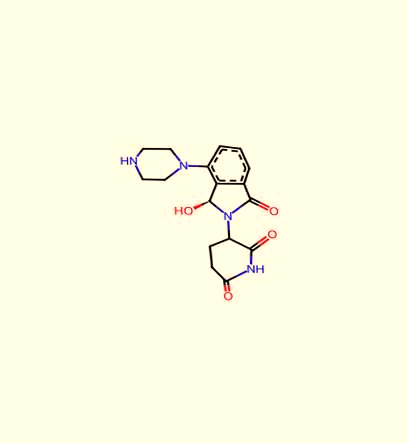 O=C1CCC(N2C(=O)c3cccc(N4CCNCC4)c3[C@@H]2O)C(=O)N1